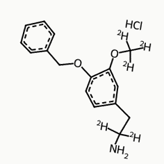 Cl.[2H]C([2H])(N)Cc1ccc(OCc2ccccc2)c(OC([2H])([2H])[2H])c1